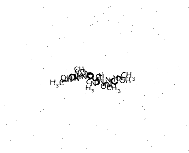 Cc1c(NC(=O)c2nc3c(n2C)CCN(CC(C)O)C3)cccc1-c1nccc(NC(=O)c2nc3c(n2C)CCN(CC(C)O)C3)c1Cl